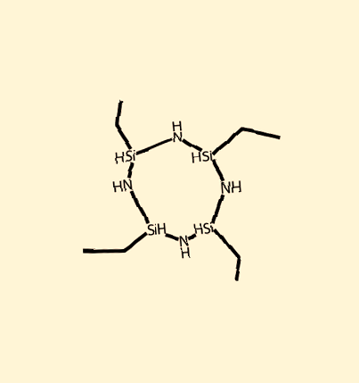 CC[SiH]1N[SiH](CC)N[SiH](CC)N[SiH](CC)N1